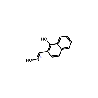 O/N=C/c1ccc2ccccc2c1O